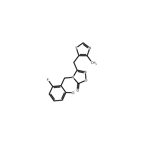 Cc1ncsc1Cc1noc(=O)n1Cc1c(F)cccc1Cl